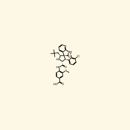 COc1cc(C(=O)O)ccc1NC(=O)[C@@H]1N[C@@H](CC(C)(C)C)[C@@]2(C(=O)Nc3ncccc32)[C@H]1c1cccc(Cl)c1F